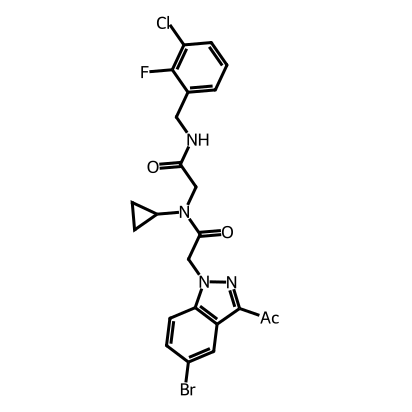 CC(=O)c1nn(CC(=O)N(CC(=O)NCc2cccc(Cl)c2F)C2CC2)c2ccc(Br)cc12